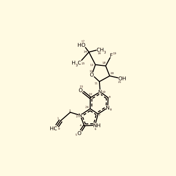 C#CCn1c(=O)[nH]c2ncn(C3OC(C(C)(C)O)C(F)C3O)c(=O)c21